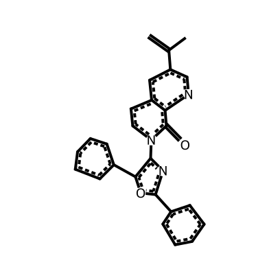 C=C(C)c1cnc2c(=O)n(-c3nc(-c4ccccc4)oc3-c3ccccc3)ccc2c1